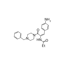 CCC(=O)N/C(=C/c1ccc(N)cc1)C(=O)N1CCN(Cc2ccccc2)CC1